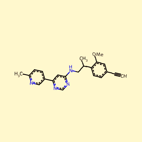 C#Cc1ccc(C(C)CNc2cc(-c3ccc(C)nc3)ncn2)c(OC)c1